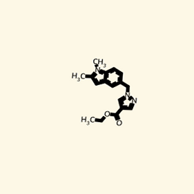 CCOC(=O)c1cnn(Cc2ccc3c(c2)cc(C)n3C)c1